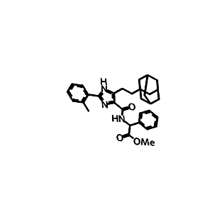 COC(=O)C(NC(=O)c1nc(-c2ccccc2C)[nH]c1CCC12CC3CC(CC(C3)C1)C2)c1ccccc1